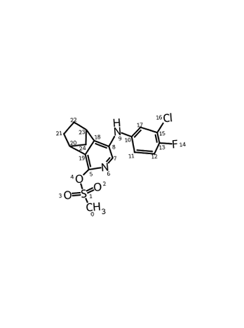 CS(=O)(=O)Oc1ncc(Nc2ccc(F)c(Cl)c2)c2c1C1CCC2C1